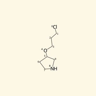 ClCCCOC1CCNC1